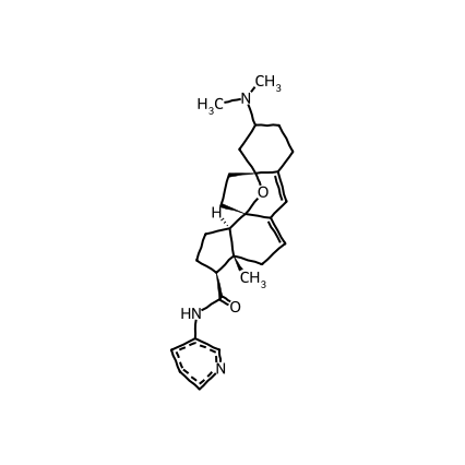 CN(C)C1CCC2=CC3=CC[C@]4(C)[C@@H](C(=O)Nc5cccnc5)CC[C@H]4[C@@]34CC[C@]2(C1)O4